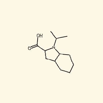 CC(C)N1C(C(=O)O)CC2CCCCC21